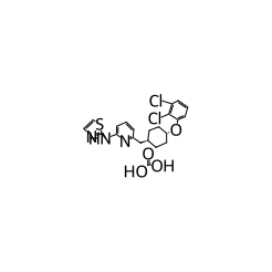 Clc1cccc(O[C@H]2CC[C@H](Cc3cccc(Nc4nccs4)n3)CC2)c1Cl.O=C(O)O